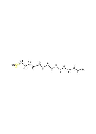 CCCCCCCCCCCCCC[C]=S